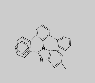 Cc1ccc2c(c1)nc(-c1ccccc1)n2-c1c(-c2ccccc2)cccc1-c1ccccc1